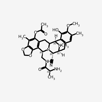 COc1c(C)cc2c(c1O)[C@@H]1C3Cc4c(OC(C)=O)c(C)c5c(c4[C@H](CNC(=O)[C@H](C)N)N3[C@@H](C#N)[C@H](C2)N1C)OCO5